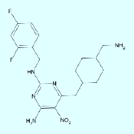 NCC1CCC(Cc2nc(NCc3ccc(F)cc3F)nc(N)c2[N+](=O)[O-])CC1